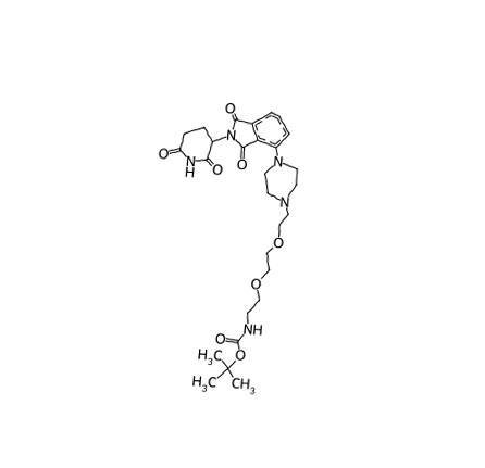 CC(C)(C)OC(=O)NCCOCCOCCN1CCN(c2cccc3c2C(=O)N(C2CCC(=O)NC2=O)C3=O)CC1